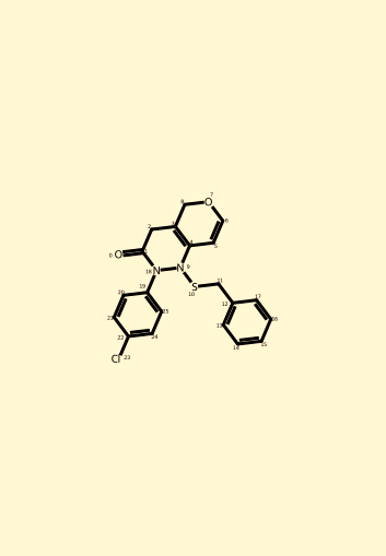 O=C1CC2=C(C=COC2)N(SCc2ccccc2)N1c1ccc(Cl)cc1